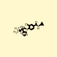 CC(C)(C)C(O)(CSc1ccc(C(=O)NC2CC2)cc1Cl)c1cncs1